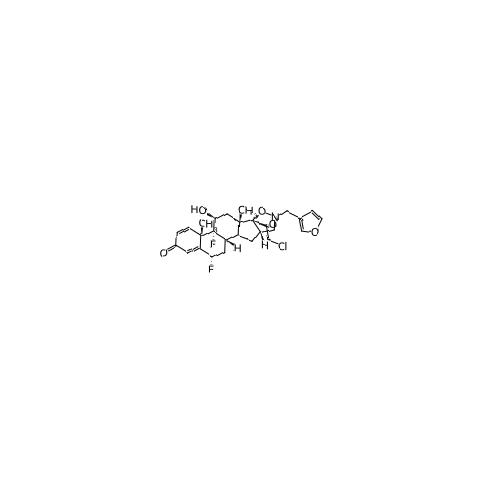 C[C@]12C=CC(=O)C=C1[C@@H](F)C[C@H]1C3C[C@H]4CN(Cc5ccoc5)O[C@@]4(C(=O)CCl)[C@@]3(C)C[C@H](O)[C@@]12F